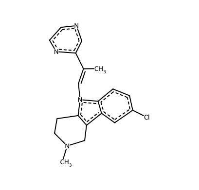 CC(=Cn1c2c(c3cc(Cl)ccc31)CN(C)CC2)c1cnccn1